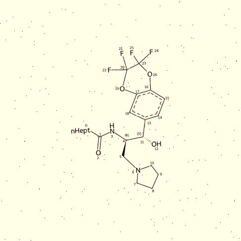 CCCCCCCC(=O)N[C@H](CN1CCCC1)[C@@H](O)c1ccc2c(c1)OC(F)(F)C(F)(F)O2